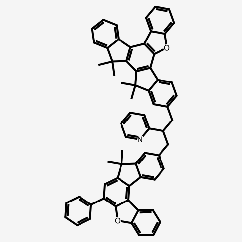 CC1(C)c2cc(CC(Cc3ccc4c(c3)C(C)(C)c3c5c(c6c(oc7ccccc76)c3-4)-c3ccccc3C5(C)C)c3ccccn3)ccc2-c2c1cc(-c1ccccc1)c1oc3ccccc3c21